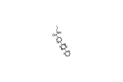 CCCNC(=O)c1ccc(-c2nnc(-c3ncccn3)nn2)nc1